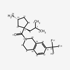 CC(C)C[C@]1(C(=O)N2CCc3ccc(C(F)(F)F)cc3C2)CC[C@@H](N)C1